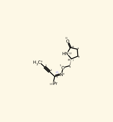 CC#C/C(=N\OC[C@H]1CCC(=O)N1)C(C)C